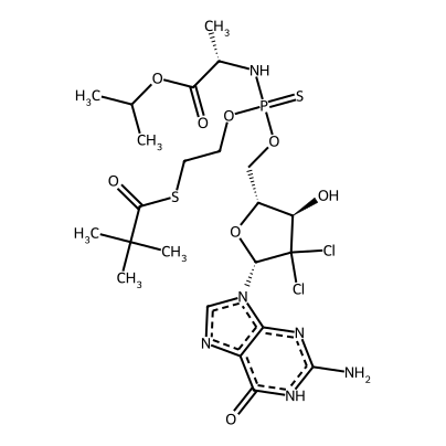 CC(C)OC(=O)[C@H](C)NP(=S)(OCCSC(=O)C(C)(C)C)OC[C@H]1O[C@@H](n2cnc3c(=O)[nH]c(N)nc32)C(Cl)(Cl)[C@@H]1O